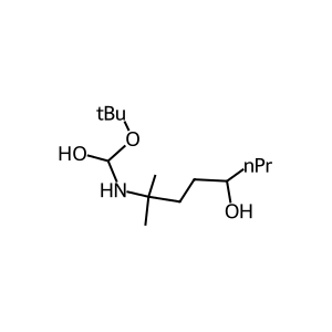 CCCC(O)CCC(C)(C)NC(O)OC(C)(C)C